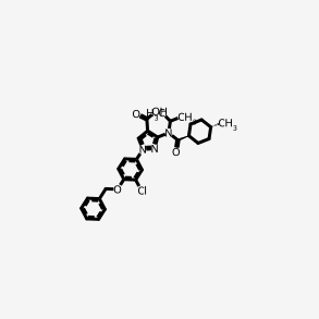 CC(C)N(c1nn(-c2ccc(OCc3ccccc3)c(Cl)c2)cc1C(=O)O)C(=O)[C@H]1CC[C@H](C)CC1